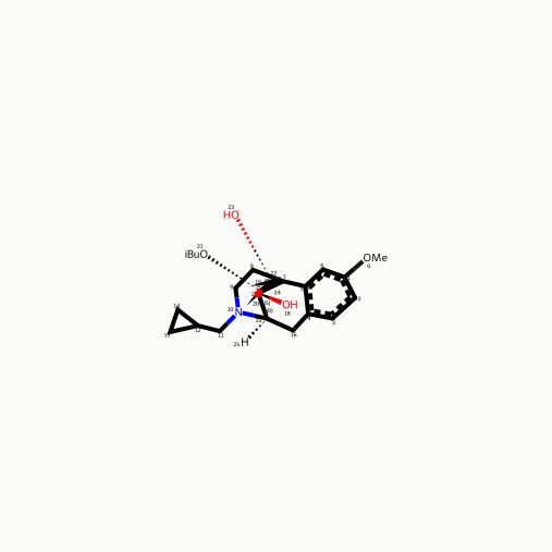 COc1ccc2c(c1)C13CCN(CC4CC4)[C@H](C2)[C@]1(O)C[C@H](OCC(C)C)[C@H](O)C3